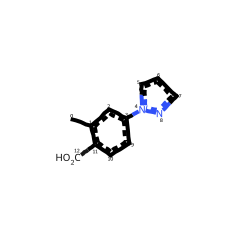 Cc1cc(-n2cccn2)ccc1C(=O)O